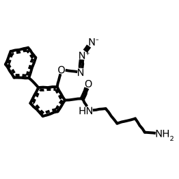 [N-]=[N+]=NOc1c(C(=O)NCCCCN)cccc1-c1ccccc1